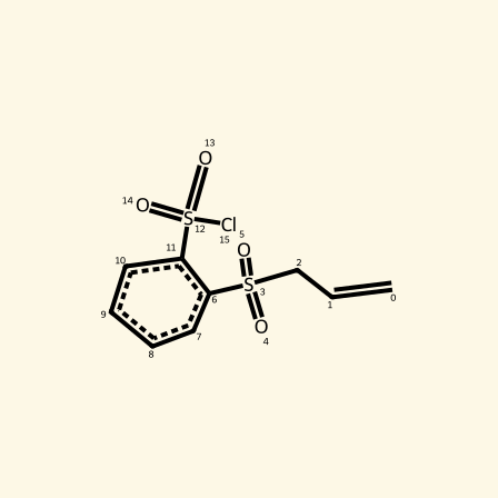 C=CCS(=O)(=O)c1ccccc1S(=O)(=O)Cl